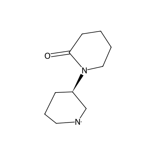 O=C1CCCCN1[C@@H]1CCC[N]C1